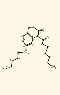 CCCCCCC(=O)n1c(=O)ccc2ccc(OCCCCN)cc21